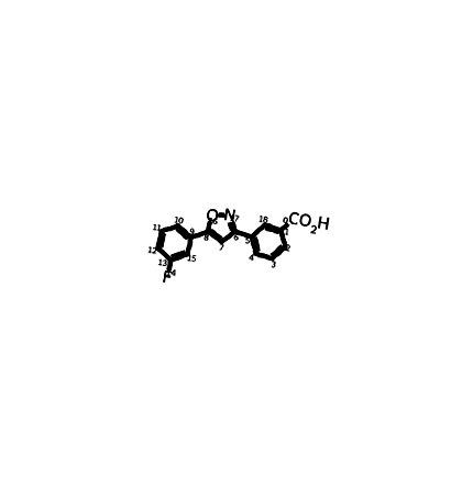 O=C(O)c1cccc(-c2cc(-c3cccc(F)c3)on2)c1